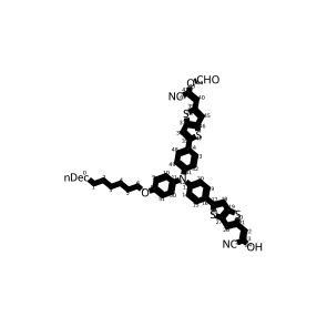 CCCCCCCCCCCCCCCCOc1ccc(N(c2ccc(-c3cc4sc(/C=C(/O)C#N)cc4s3)cc2)c2ccc(-c3cc4sc(/C=C(\C#N)OC=O)cc4s3)cc2)cc1